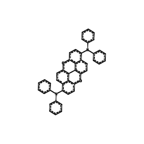 c1ccc(N(c2ccccc2)c2ccc3oc4ccc5c(N(c6ccccc6)c6ccccc6)ccc6oc7ccc2c3c7-c4c65)cc1